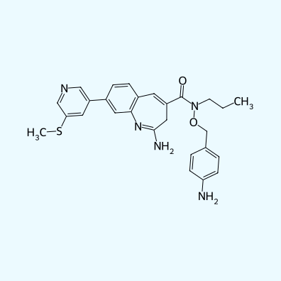 CCCN(OCc1ccc(N)cc1)C(=O)C1=Cc2ccc(-c3cncc(SC)c3)cc2N=C(N)C1